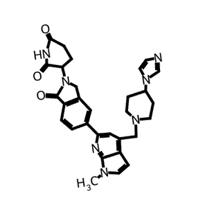 Cn1ccc2c(CN3CCC(n4ccnc4)CC3)cc(-c3ccc4c(c3)CN(C3CCC(=O)NC3=O)C4=O)nc21